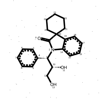 O=C1N([C@@H](c2ccccc2)[C@H](O)CO)c2ccccc2C12CCCCC2